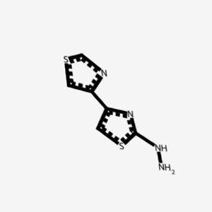 NNc1nc(-c2cscn2)cs1